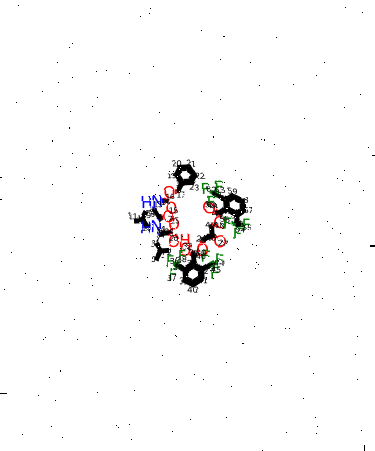 CC(C)C[C@H](NC(=O)[C@H](CC(C)C)NC(=O)OCc1ccccc1)C(=O)O.O=C(COC(=O)c1c(C(F)(F)F)cccc1C(F)(F)F)COC(=O)c1c(C(F)(F)F)cccc1C(F)(F)F